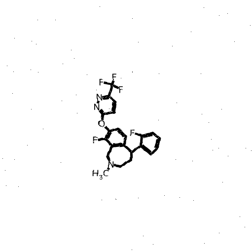 CN1CCC(c2ccccc2F)c2ccc(Oc3ccc(C(F)(F)F)nn3)c(F)c2C1